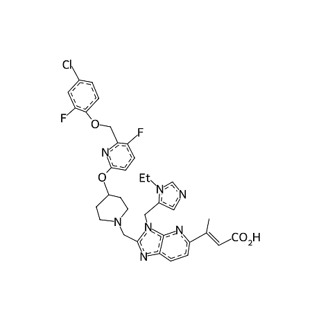 CCn1cncc1Cn1c(CN2CCC(Oc3ccc(F)c(COc4ccc(Cl)cc4F)n3)CC2)nc2ccc(/C(C)=C/C(=O)O)nc21